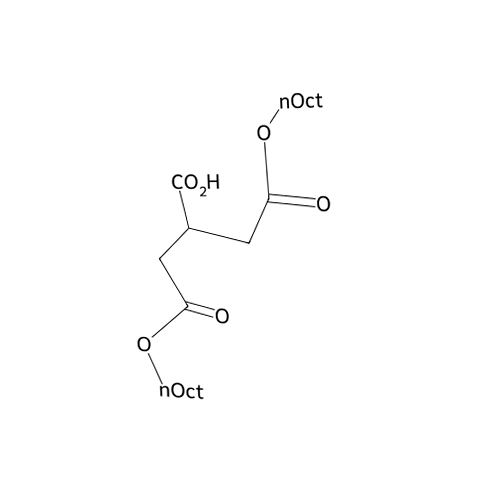 CCCCCCCCOC(=O)CC(CC(=O)OCCCCCCCC)C(=O)O